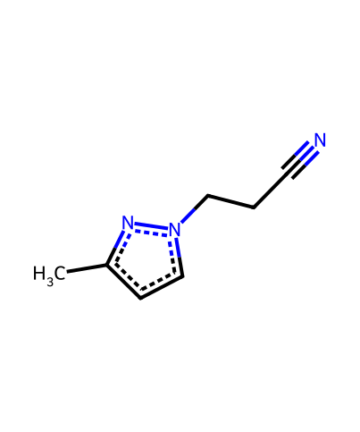 Cc1ccn(CCC#N)n1